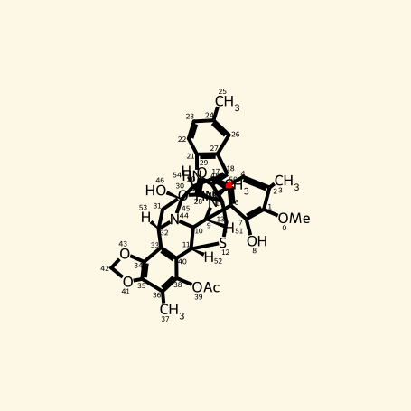 COc1c(C)cc2c(c1O)[C@@H]1C3[C@@H]4SC[C@]5(NCCc6c5[nH]c5ccc(C)cc65)C(=O)OC[C@@H](c5c6c(c(C)c(OC(C)=O)c54)OCO6)N3[C@@H](O)[C@H](C2)N1C